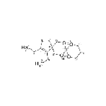 CCC1=C(CC)C2(CC1)COC1(OCCCO1)OC2